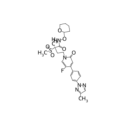 Cc1cnn(-c2ccc(-c3cc(=O)n(CC[C@](C)(C(=O)NOC4CCCCO4)S(C)(=O)=O)cc3F)cc2)n1